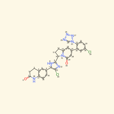 O=C1CCc2cc(-c3[nH]c(C4CCc5cc(-c6cc(Cl)ccc6-n6cnnn6)cc(=O)n54)nc3Cl)ccc2N1